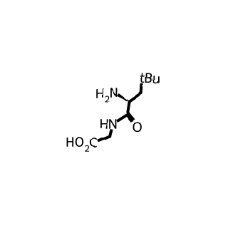 CC(C)(C)C[C@H](N)C(=O)NCC(=O)O